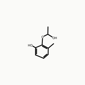 Cc1cccc(O)c1OC(C)O